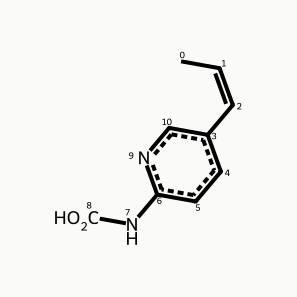 C/C=C\c1ccc(NC(=O)O)nc1